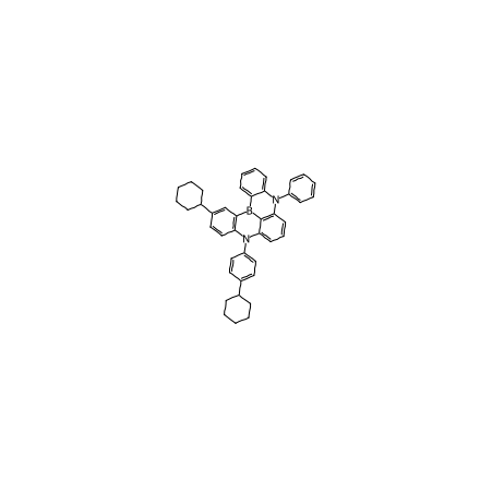 c1ccc(N2c3ccccc3B3c4cc(C5CCCCC5)ccc4N(c4ccc(C5CCCCC5)cc4)c4cccc2c43)cc1